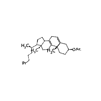 CC(=O)O[C@H]1CC[C@@]2(C)C(=CCC3=C2CC[C@@]2(C)C3CC[C@@H]2[C@H](C)CCCC(C)C)C1